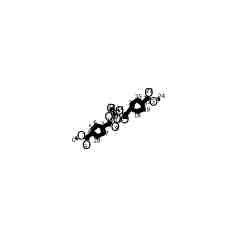 COC(=O)c1ccc(C(=O)OS(=O)(=O)OC(=O)c2ccc(C(=O)OC)cc2)cc1